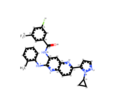 Cc1ccccc1Nc1nc2ccc(-c3ccnn3C3CC3)nc2cc1NC(=O)c1cc(F)cc(C(F)(F)F)c1